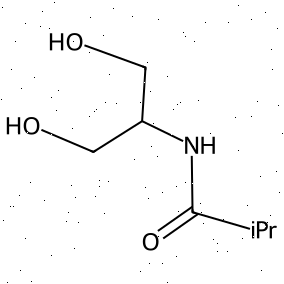 CC(C)C(=O)NC(CO)CO